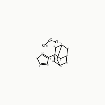 [CH]1C=CC(C23CC4CC(CC(C4)C2)C3)=C1.[Cl][Zr][Cl]